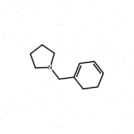 C1=CCCC(CN2CCCC2)=C1